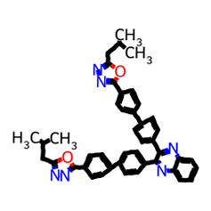 CC(C)Cc1nnc(-c2ccc(-c3ccc(-c4nc5ccccc5nc4-c4ccc(-c5ccc(-c6nnc(CC(C)C)o6)cc5)cc4)cc3)cc2)o1